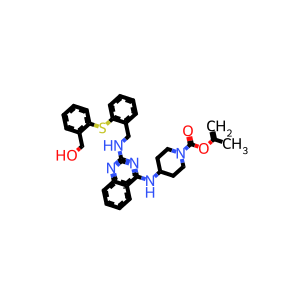 C=C(C)OC(=O)N1CCC(Nc2nc(NCc3ccccc3Sc3ccccc3CO)nc3ccccc23)CC1